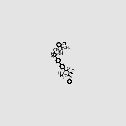 Cc1noc(-c2ccc(-c3ccc(C(C)C(=O)N4C(=O)O[C@@H](c5ccccc5)[C@H]4C)cc3)cc2)c1NC(=O)O[C@H](C)c1ccccc1Cl